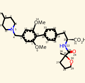 COc1cc(CN2CCC(C)CC2)cc(OC)c1-c1ccc(C[C@H](NC(=O)[C@@]2(C)CCCO2)C(=O)O)cc1